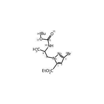 CCOC(=O)c1cc(Br)nn1CC(C)NC(=O)OC(C)(C)C